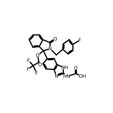 O=C(O)Nc1nc2ccc(C3(OC(=O)C(F)(F)F)c4ccccc4C(=O)N3Cc3ccc(F)cc3)cc2[nH]1